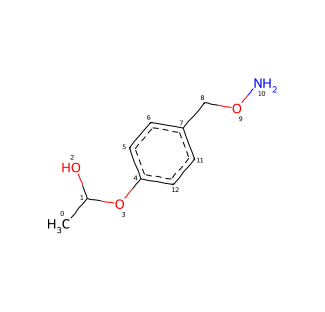 CC(O)Oc1ccc(CON)cc1